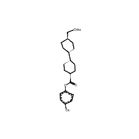 COC[C@H]1CC[C@H]([C@H]2CC[C@H](C(=O)Oc3ccc(C#N)cc3)CC2)CC1